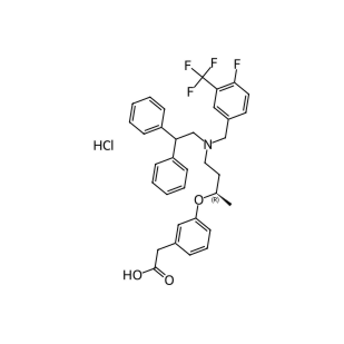 C[C@H](CCN(Cc1ccc(F)c(C(F)(F)F)c1)CC(c1ccccc1)c1ccccc1)Oc1cccc(CC(=O)O)c1.Cl